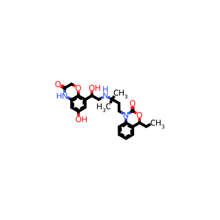 CCC1OC(=O)N(CCC(C)(C)NCC(O)c2cc(O)cc3c2OCC(=O)N3)c2ccccc21